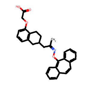 CC(CC1CCc2c(cccc2OCC(=O)O)C1)=NOC1=C2C=CC=CC2C=Cc2ccccc21